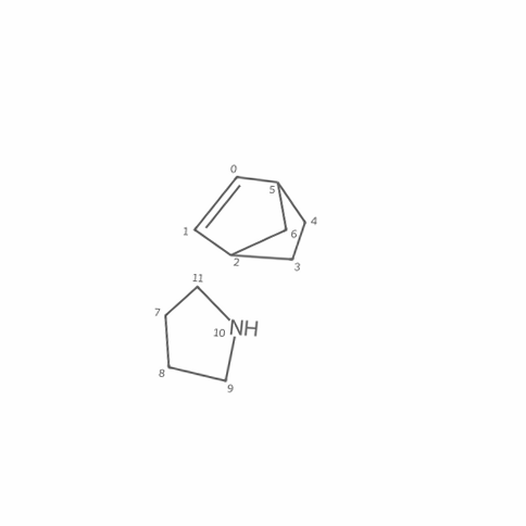 C1=CC2CCC1C2.C1CCNC1